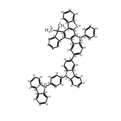 CC1(C)c2ccccc2-c2c1c1c3ccccc3sc1c1c2c2cc(-c3ccc4c(c3)c3ccccc3n4-c3ccc(-n4c5ccccc5c5ccccc54)cc3)ccc2n1-c1ccccc1